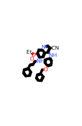 CCOc1cc2ncc(C#N)c(Nc3ccc(OCc4ccccc4)cc3)c2cc1NC(=O)/C=C/c1ccccc1